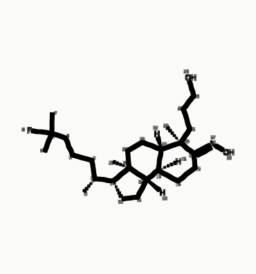 C[C@H](CCCC(C)(C)F)[C@H]1CC[C@H]2[C@@H]3CC/C(=N\O)[C@](C)(CCCO)[C@H]3CC[C@]12C